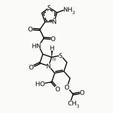 CC(=O)OCC1=C(C(=O)O)N2C(=O)C(NC(=O)C(=O)c3csc(N)n3)[C@@H]2SC1